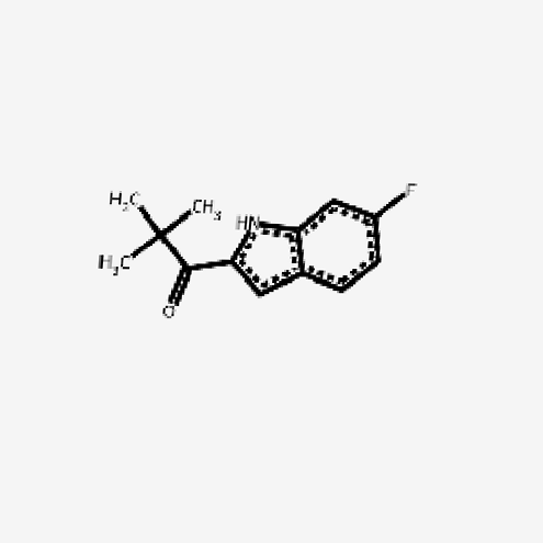 CC(C)(C)C(=O)c1cc2ccc(F)cc2[nH]1